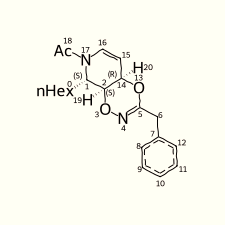 CCCCCC[C@H]1[C@@H]2ON=C(Cc3ccccc3)O[C@@H]2C=CN1C(C)=O